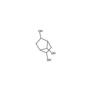 OC1CC2C(O)CC1C2O